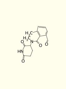 Cc1cccc(C=O)c1C(=O)N(C)C1CCC(=O)NC1=O